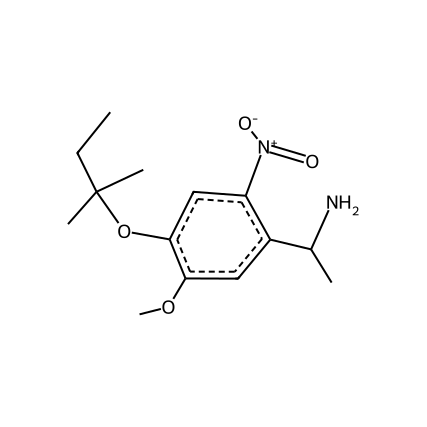 CCC(C)(C)Oc1cc([N+](=O)[O-])c(C(C)N)cc1OC